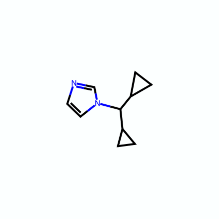 c1cn(C(C2CC2)C2CC2)cn1